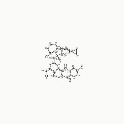 [2H]C(Nc1cc(C(C)=O)c2ncc(C#N)c(Nc3cccc(Cl)c3)c2c1)(c1cn(C2CC2)nn1)c1ccccc1Cl